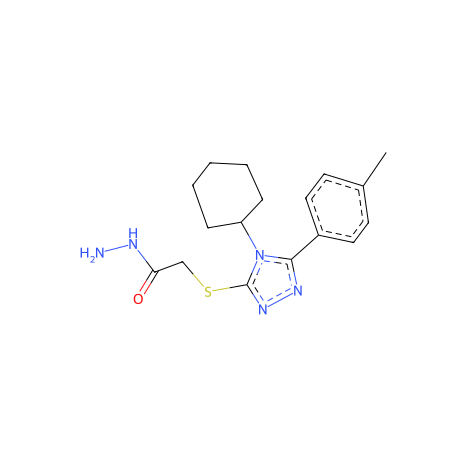 Cc1ccc(-c2nnc(SCC(=O)NN)n2C2CCCCC2)cc1